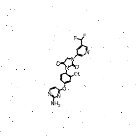 CCc1cc(Oc2ccnc(N)n2)ccc1N1C(=O)CN(c2cncc(C(F)F)c2)C1=O